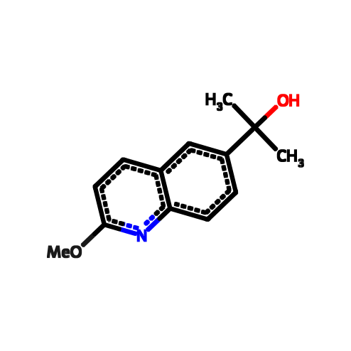 COc1ccc2cc(C(C)(C)O)ccc2n1